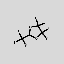 FC(F)(F)C1OC(F)(F)C(F)(F)O1